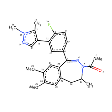 CNC(=O)N1N=C(c2ccc(F)c(-c3cnn(C)c3C)c2)c2cc(OC)c(OC)cc2CC1C